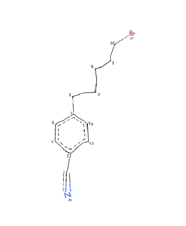 N#Cc1ccc(CCCCCBr)cc1